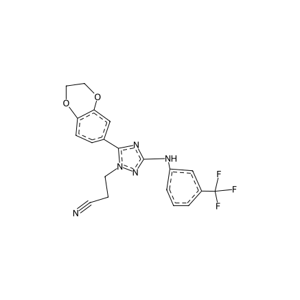 N#CCCn1nc(Nc2cccc(C(F)(F)F)c2)nc1-c1ccc2c(c1)OCCO2